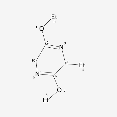 CCOC1=NC(CC)C(OCC)=NC1